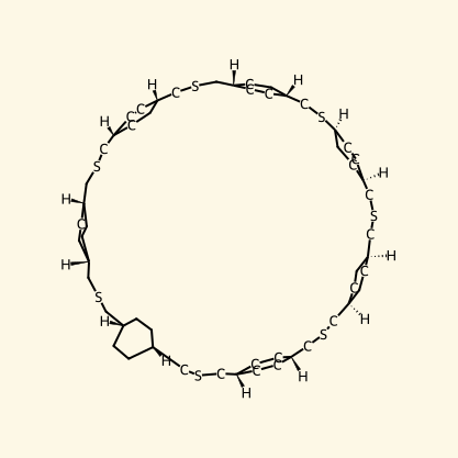 C1C[C@H]2CC[C@@H]1CSC[C@@H]1CC[C@@H](CC1)CSC[C@@H]1CC[C@@H](CC1)CSC[C@@H]1CC[C@@H](CC1)CS[C@H]1CC[C@H](CC1)CSC[C@H]1CC[C@H](CC1)CSC[C@H]1CC[C@H](CC1)CSC2